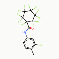 Cc1ccc(NC(=O)C2(F)C(F)(F)C(F)(F)C(F)(F)C(F)(F)C2(F)F)cc1F